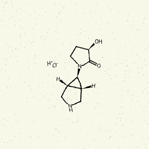 O=C1[C@H](O)CCN1[C@H]1[C@@H]2CNC[C@@H]21.[Cl-].[H+]